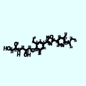 CCc1cc(-c2noc(-c3cnc(N(C)CC)c(C)c3)n2)cc(C)c1OC[C@@H](O)CNC(=O)CO